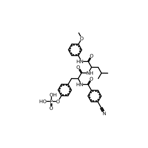 COc1cccc(NC(=O)C(CC(C)C)NC(=O)C(Cc2ccc(OP(=O)(O)O)cc2)NC(=O)c2ccc(C#N)cc2)c1